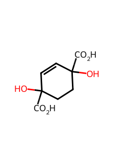 O=C(O)C1(O)C=CC(O)(C(=O)O)CC1